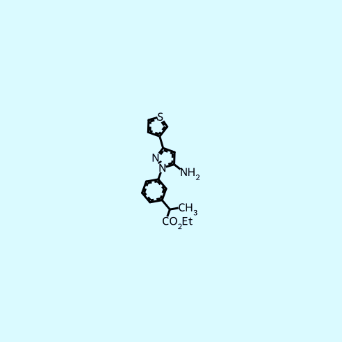 CCOC(=O)C(C)c1cccc(-n2nc(-c3ccsc3)cc2N)c1